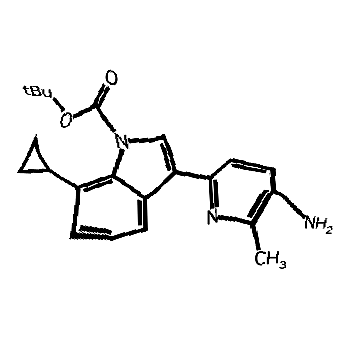 Cc1nc(-c2cn(C(=O)OC(C)(C)C)c3c(C4CC4)cccc23)ccc1N